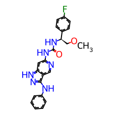 COC[C@@H](NC(=O)Nc1cc2[nH]nc(Nc3ccccc3)c2cn1)c1ccc(F)cc1